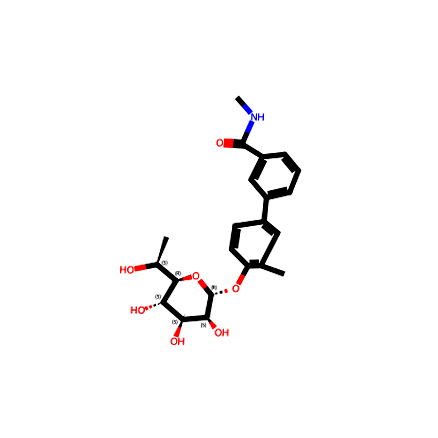 CNC(=O)c1cccc(-c2ccc(O[C@H]3O[C@H]([C@H](C)O)[C@@H](O)[C@H](O)[C@@H]3O)c(C)c2)c1